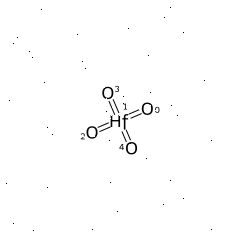 [O]=[Hf](=[O])(=[O])=[O]